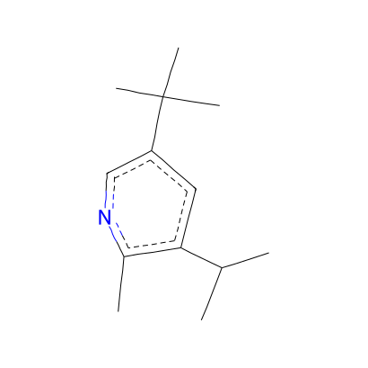 Cc1ncc(C(C)(C)C)cc1C(C)C